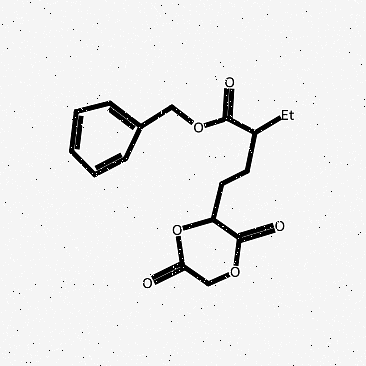 CCC(CCC1OC(=O)COC1=O)C(=O)OCc1ccccc1